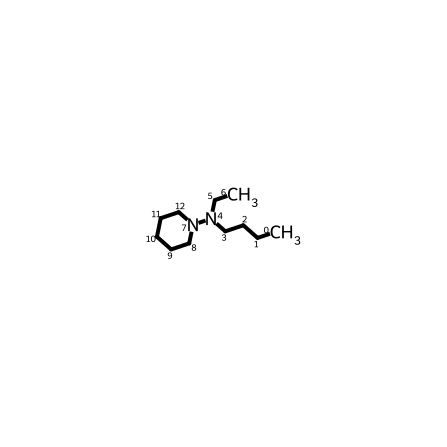 CCCCN(CC)N1CCCCC1